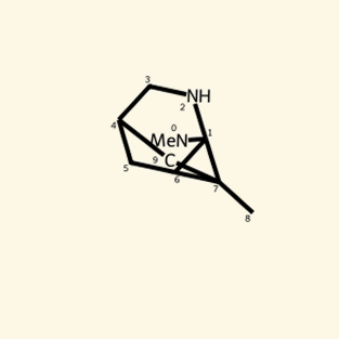 CNC12NCC3CC1C2(C)C3